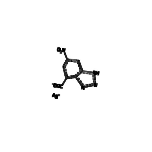 O=C([O-])c1cc([N+](=O)[O-])cc2[nH]nnc12.[Ag+]